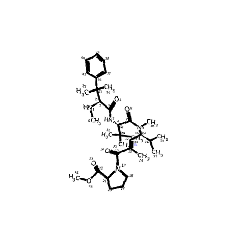 CN[C@H](C(=O)N[C@H](C(=O)N(C)[C@H](/C=C(\C)C(=O)N1CCCC1C(=O)OC)C(C)C)C(C)(C)C)C(C)(C)c1ccccc1